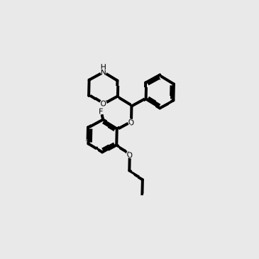 CCCOc1cccc(F)c1OC(c1ccccc1)C1CNCCO1